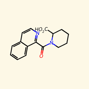 O=C(O)C1CCCCN1C(=O)c1nccc2ccccc12